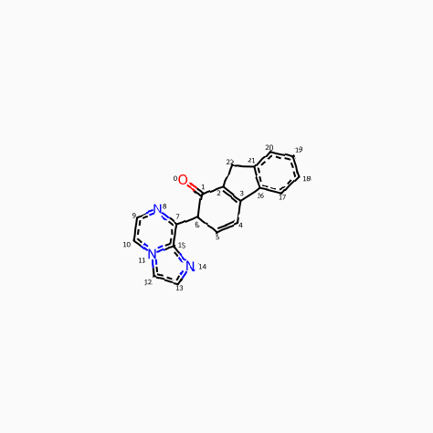 O=C1C2=C(C=CC1c1nccn3ccnc13)c1ccccc1C2